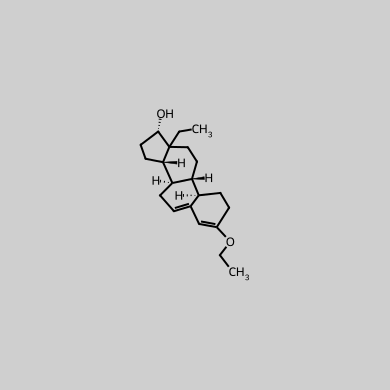 CCOC1=CC2=CC[C@@H]3[C@H](CCC4(CC)[C@@H](O)CC[C@@H]34)[C@H]2CC1